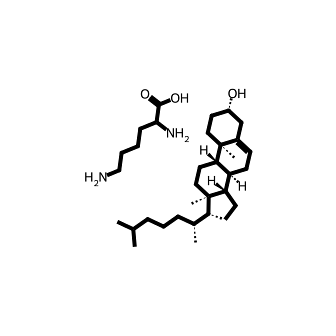 CC(C)CCC[C@@H](C)[C@H]1CC[C@H]2[C@@H]3CC=C4C[C@@H](O)CC[C@]4(C)[C@H]3CC[C@]12C.NCCCCC(N)C(=O)O